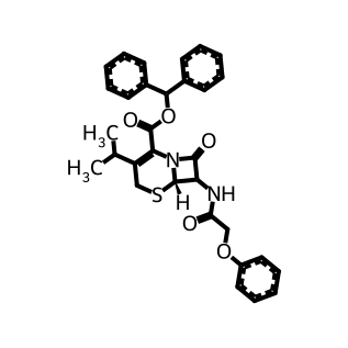 CC(C)C1=C(C(=O)OC(c2ccccc2)c2ccccc2)N2C(=O)C(NC(=O)COc3ccccc3)[C@@H]2SC1